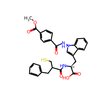 COC(=O)c1ccc(C(=O)Nn2cc(C[C@H](NC(=O)C(CS)Cc3ccccc3)C(=O)O)c3ccccc32)cc1